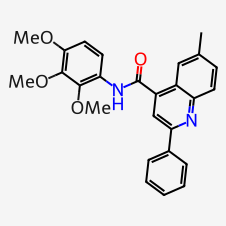 COc1ccc(NC(=O)c2cc(-c3ccccc3)nc3ccc(C)cc23)c(OC)c1OC